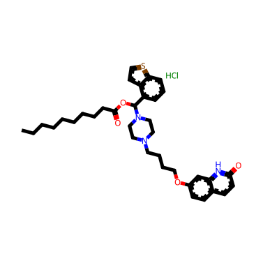 CCCCCCCCCC(=O)OC(c1cccc2sccc12)N1CCN(CCCCOc2ccc3ccc(=O)[nH]c3c2)CC1.Cl